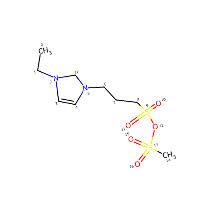 CCN1C=CN(CCCS(=O)(=O)OS(C)(=O)=O)C1